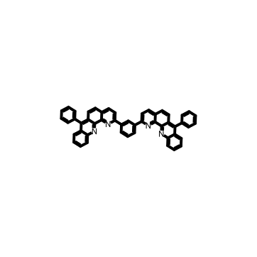 c1ccc(-c2c3ccccc3nc3c2ccc2ccc(-c4cccc(-c5ccc6ccc7c(-c8ccccc8)c8ccccc8nc7c6n5)c4)nc23)cc1